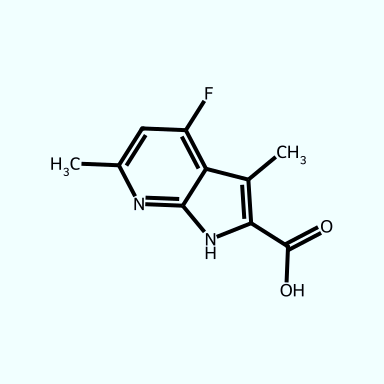 Cc1cc(F)c2c(C)c(C(=O)O)[nH]c2n1